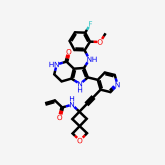 C=CC(=O)NC1(C#Cc2cnccc2-c2[nH]c3c(c2Nc2cccc(F)c2OC)C(=O)NCC3)CC2(COC2)C1